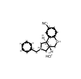 Cl.N#Cc1ccc2c(c1)[C@@H]1CN(Cc3ccccc3)C[C@H]1CO2